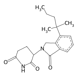 CCCC(C)(C)c1cccc2c1CN(C1CCC(=O)NC1=O)C2=O